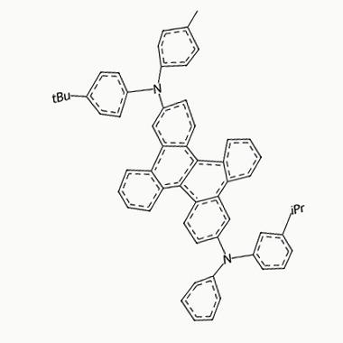 Cc1ccc(N(c2ccc(C(C)(C)C)cc2)c2ccc3c(c2)c2ccccc2c2c4ccc(N(c5ccccc5)c5cccc(C(C)C)c5)cc4c4ccccc4c32)cc1